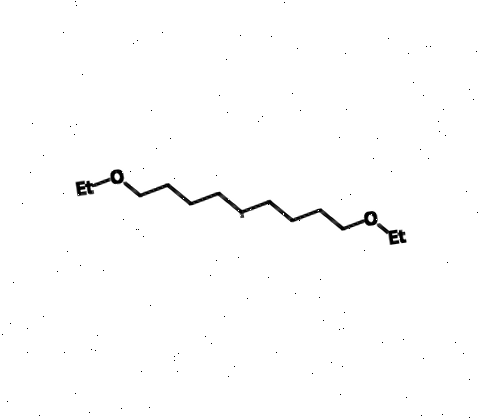 CCOCCCC[CH]CCCCOCC